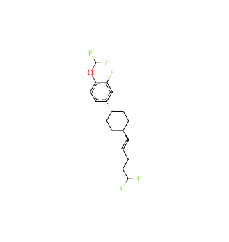 Fc1cc([C@H]2CC[C@H](C=CCCC(F)F)CC2)ccc1OC(F)F